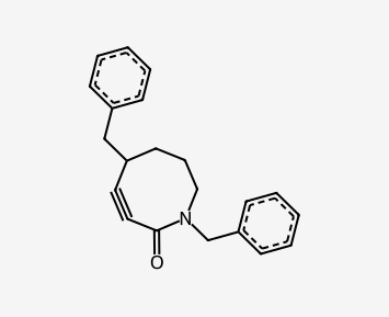 O=C1C#CC(Cc2ccccc2)CCCN1Cc1ccccc1